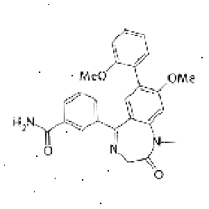 COc1ccccc1-c1cc2c(cc1OC)N(C)C(=O)CN=C2c1cccc(C(N)=O)c1